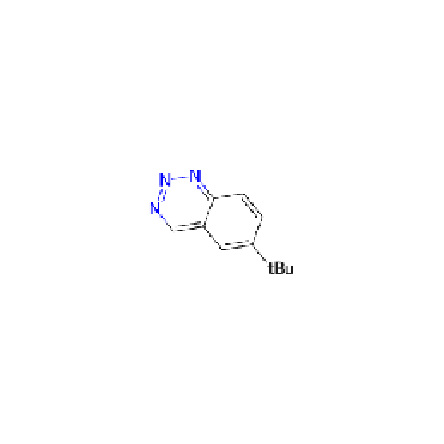 CC(C)(C)c1ccc2nnncc2c1